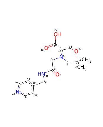 CC1(C)CN(CC(=O)NCc2ccncc2)C(C(=O)O)CO1